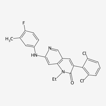 CCn1c(=O)c(-c2c(Cl)cccc2Cl)cc2cnc(Nc3ccc(F)c(C)c3)cc21